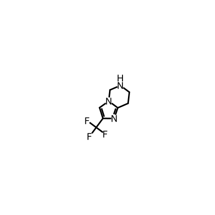 FC(F)(F)c1cn2c(n1)CCNC2